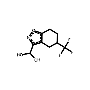 OC(O)c1noc2c1CC(C(F)(F)F)CC2